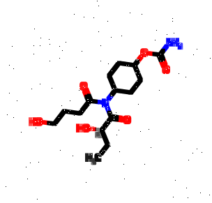 CC[C@H](O)C(=O)N(C(=O)CCCO)C1CCC(OC(N)=O)CC1